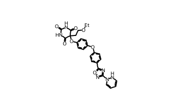 CCOCCC1(Oc2ccc(Oc3ccc(-c4nc(N5C=CC=CN5)no4)cc3)cc2)C(=O)NC(=O)NC1=O